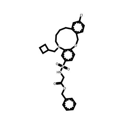 O=C(CNS(=O)(=O)c1ccc2c(c1)N(CC1CCC1)CCCCc1cc(Cl)ccc1CO2)OCc1ccccc1